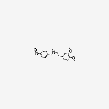 COc1ccc(CCN(C)Cc2ccc(N=O)cc2)cc1OC